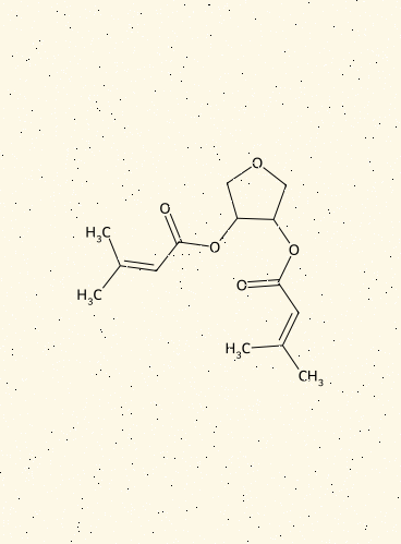 CC(C)=CC(=O)OC1COCC1OC(=O)C=C(C)C